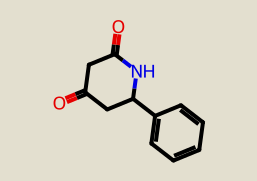 O=C1CC(=O)NC(c2ccccc2)C1